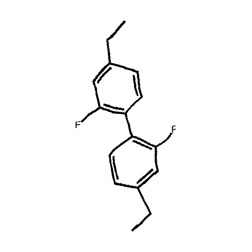 CCc1ccc(-c2ccc(CC)cc2F)c(F)c1